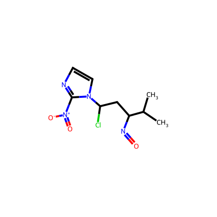 CC(C)C(CC(Cl)n1ccnc1[N+](=O)[O-])N=O